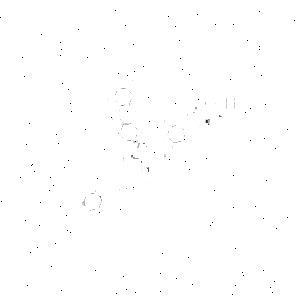 CCOC(Cc1ccc(OCCN(CCCSCc2ccccc2)C(=O)Oc2ccc(Oc3ccccc3)cc2)cc1)C(=O)O